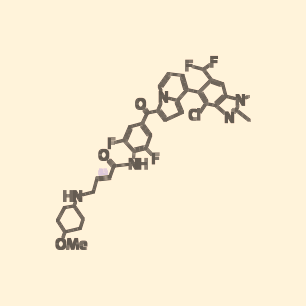 COC1CCC(NC/C=C/C(=O)Nc2c(F)cc(C(=O)c3ccc4c(-c5c(C(F)F)cc6c(nc(C)n6C)c5Cl)cccn34)cc2F)CC1